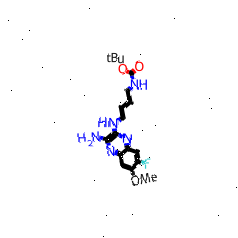 COc1cc2nc(N)c(NCCCCNC(=O)OC(C)(C)C)nc2cc1F